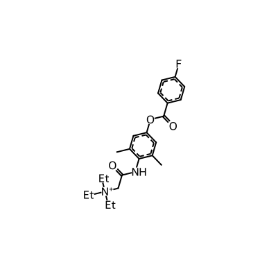 CC[N+](CC)(CC)CC(=O)Nc1c(C)cc(OC(=O)c2ccc(F)cc2)cc1C